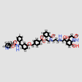 O=C(NC(c1ccccc1)c1cccc(OCc2ccc(C(=O)OCCN(CCCNC[C@@H](O)c3ccc(O)c4[nH]c(=O)ccc34)C(=O)c3ccccc3)cc2)c1)O[C@H]1CN2CCC1CC2